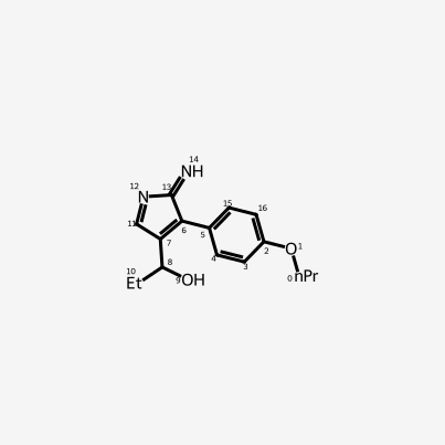 CCCOc1ccc(C2=C(C(O)CC)C=NC2=N)cc1